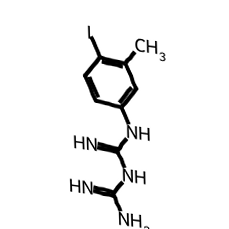 Cc1cc(NC(=N)NC(=N)N)ccc1I